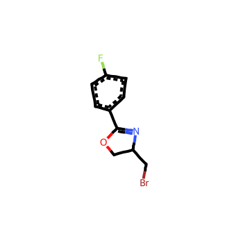 Fc1ccc(C2=NC(CBr)CO2)cc1